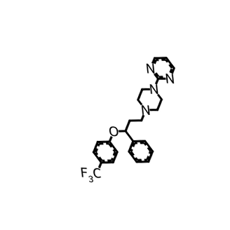 FC(F)(F)c1ccc(OC(CCN2CCN(c3ncccn3)CC2)c2ccccc2)cc1